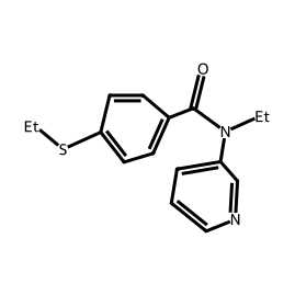 CCSc1ccc(C(=O)N(CC)c2cccnc2)cc1